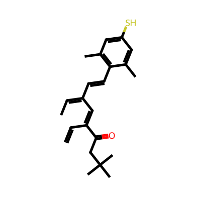 C=C\C(=C/C(=C\C)/C=C/c1c(C)cc(S)cc1C)C(=O)CC(C)(C)C